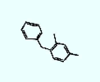 Cc1ccc(Cc2ccccc2)c(C)c1